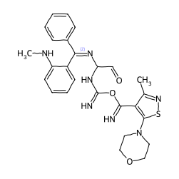 CNc1ccccc1/C(=N\C(C=O)NC(=N)OC(=N)c1c(C)nsc1N1CCOCC1)c1ccccc1